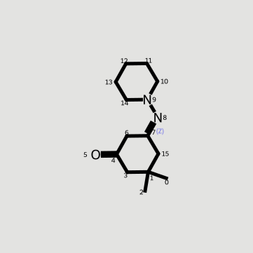 CC1(C)CC(=O)C/C(=N\N2CCCCC2)C1